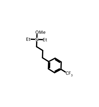 CC[Si](CC)(CCCc1ccc(C(F)(F)F)cc1)OC